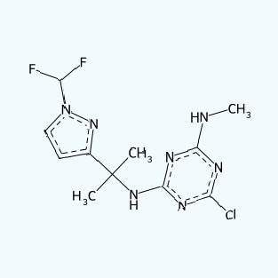 CNc1nc(Cl)nc(NC(C)(C)c2ccn(C(F)F)n2)n1